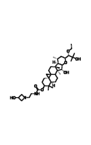 CCO[C@@H](C1C[C@@H](C)[C@H]2C(O1)[C@H](O)[C@@]1(C)C3CC[C@H]4C(C)(C)[C@@H](OC(=O)NCCN5CC(O)C5)CC[C@@]45C[C@@]35CC[C@]21C)C(C)(C)O